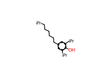 CC(C)CCCCCCc1cc(C(C)C)c(O)c(C(C)C)c1